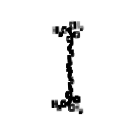 C=C(C)C(=O)OCCSCCSCCSCCOC(=O)C(=C)C